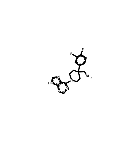 NCC1(c2ccc(F)c(F)c2)CCN(c2ncnc3[nH]cnc23)CC1